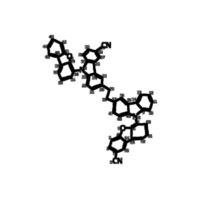 N#Cc1ccc2oc3c(-n4c5ccccc5c5cc(CCc6ccc7c(c6)c6cc(C#N)ccc6n7-c6cccc7c6oc6ccccc67)ccc54)cccc3c2c1